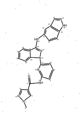 Cn1cc(C(=O)Nc2cccc(-n3nc(Nc4ccc5[nH]ncc5c4)c4ccccc43)n2)cn1